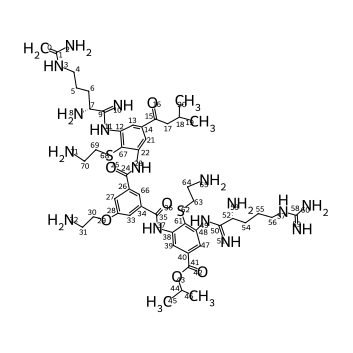 C=C(N)NCCC[C@@H](N)C(=N)Nc1cc(C(=O)CC(C)C)cc(NC(=O)c2cc(OCCN)cc(C(=O)Nc3cc(C(=O)OC(C)C)cc(NC(=N)[C@H](N)CCCNC(=N)N)c3SCCN)c2)c1SCCN